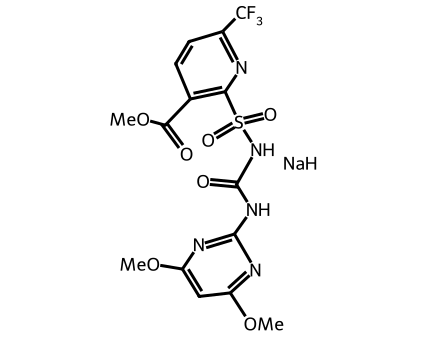 COC(=O)c1ccc(C(F)(F)F)nc1S(=O)(=O)NC(=O)Nc1nc(OC)cc(OC)n1.[NaH]